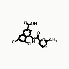 Cc1nccc(C(=O)Nc2cc(C(=O)O)cc3cc(Cl)cc(Cl)c23)n1